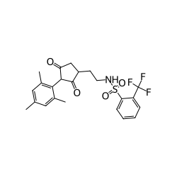 Cc1cc(C)c(C2C(=O)CC(CCNS(=O)(=O)c3ccccc3C(F)(F)F)C2=O)c(C)c1